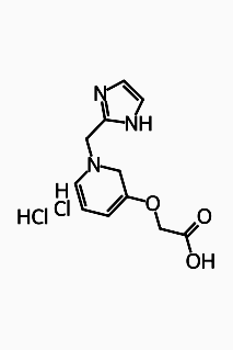 Cl.Cl.O=C(O)COC1=CC=CN(Cc2ncc[nH]2)C1